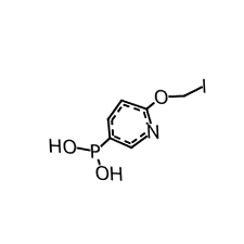 OP(O)c1ccc(OCI)nc1